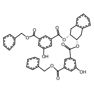 O=C(OCc1ccccc1)c1cc(O)cc(C(=O)O[C@H]2Cc3ccccc3C[C@H]2OC(=O)c2cc(O)cc(C(=O)OCc3ccccc3)c2)c1